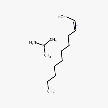 CCCCCCCC/C=C\CCCCCCCC=O.CN(C)N